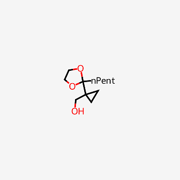 CCCCCC1(C2(CO)CC2)OCCO1